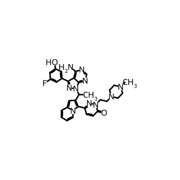 CC(c1cc2ccccn2c1-c1ccc(=O)n(CCN2CCN(C)CC2)n1)n1nc(-c2cc(O)cc(F)c2)c2c(N)ncnc21